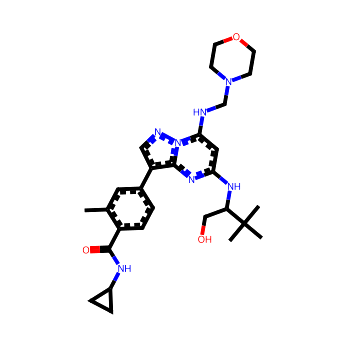 Cc1cc(-c2cnn3c(NCN4CCOCC4)cc(NC(CO)C(C)(C)C)nc23)ccc1C(=O)NC1CC1